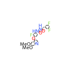 COc1cc2nccc(Oc3ccc(NC(=O)NC(=O)Cc4cc(F)cc(F)c4)cc3F)c2cc1OC